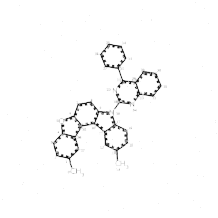 Cc1ccc2oc3ccc4c(c5cc(C)ccc5n4-c4nc(-c5ccccc5)c5ccccc5n4)c3c2c1